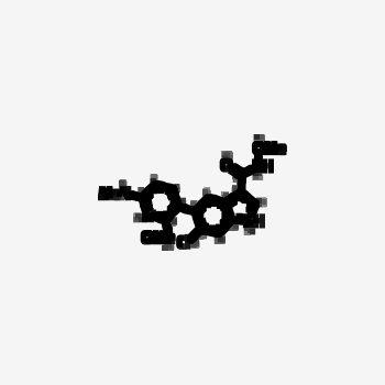 CNc1ccc(-c2cc3c(C(=O)NOC)c[nH]c3cc2Cl)c(OC)n1